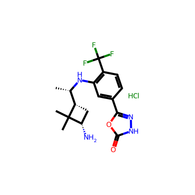 C[C@H](Nc1cc(-c2n[nH]c(=O)o2)ccc1C(F)(F)F)[C@@H]1C[C@H](N)C1(C)C.Cl